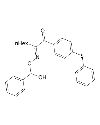 CCCCCC/C(=N\OC(O)c1ccccc1)C(=O)c1ccc(Sc2ccccc2)cc1